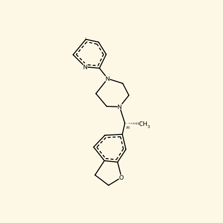 C[C@H](c1ccc2c(c1)OCC2)N1CCN(c2cc[c]cn2)CC1